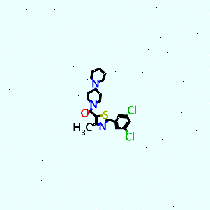 Cc1nc(-c2cc(Cl)cc(Cl)c2)sc1C(=O)N1CCC(N2CCCCC2)CC1